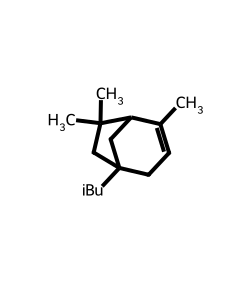 CCC(C)C12CC=C(C)C(C1)C(C)(C)C2